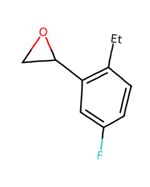 CCc1ccc(F)cc1C1CO1